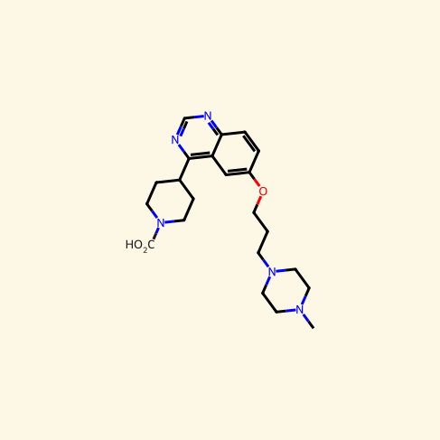 CN1CCN(CCCOc2ccc3ncnc(C4CCN(C(=O)O)CC4)c3c2)CC1